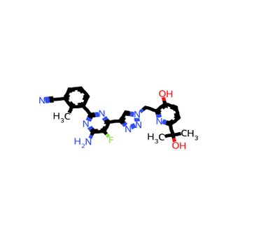 Cc1c(C#N)cccc1-c1nc(N)c(F)c(-c2cn(Cc3nc(C(C)(C)O)ccc3O)nn2)n1